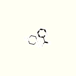 C1CNCCN1.NC(=O)c1ccccn1